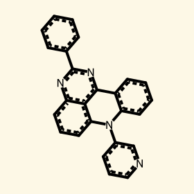 c1ccc(-c2nc3c4c(cccc4n2)N(c2cccnc2)c2ccccc2-3)cc1